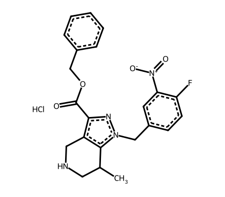 CC1CNCc2c(C(=O)OCc3ccccc3)nn(Cc3ccc(F)c([N+](=O)[O-])c3)c21.Cl